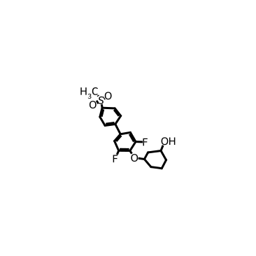 CS(=O)(=O)c1ccc(-c2cc(F)c(OC3CCCC(O)C3)c(F)c2)cc1